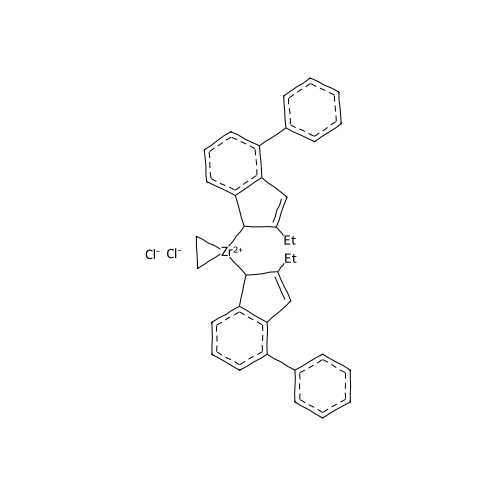 CCC1=Cc2c(-c3ccccc3)cccc2[CH]1[Zr+2]1([CH]2C(CC)=Cc3c(-c4ccccc4)cccc32)[CH2][CH2]1.[Cl-].[Cl-]